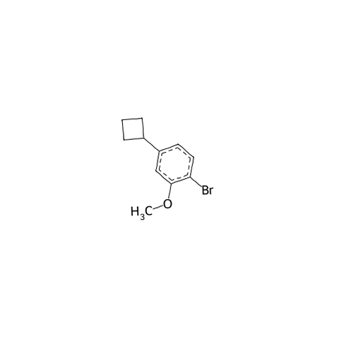 COc1cc(C2CCC2)ccc1Br